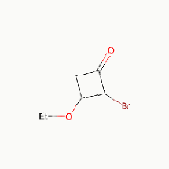 CCOC1CC(=O)C1Br